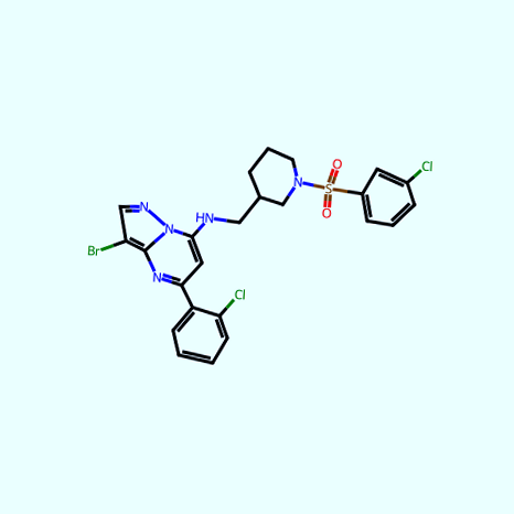 O=S(=O)(c1cccc(Cl)c1)N1CCCC(CNc2cc(-c3ccccc3Cl)nc3c(Br)cnn23)C1